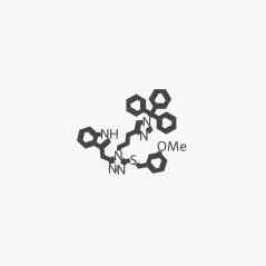 COc1cccc(CSc2nnc(Cc3c[nH]c4ccccc34)n2CCCc2cn(C(c3ccccc3)(c3ccccc3)c3ccccc3)cn2)c1